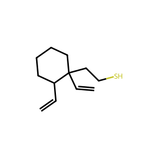 C=CC1CCCCC1(C=C)CCS